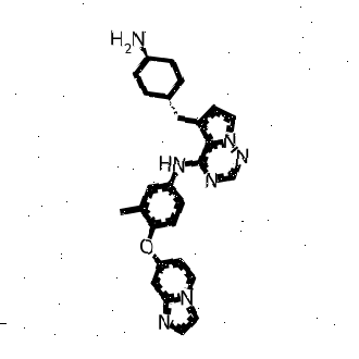 Cc1cc(Nc2ncnn3ccc(C[C@H]4CC[C@H](N)CC4)c23)ccc1Oc1ccn2ccnc2c1